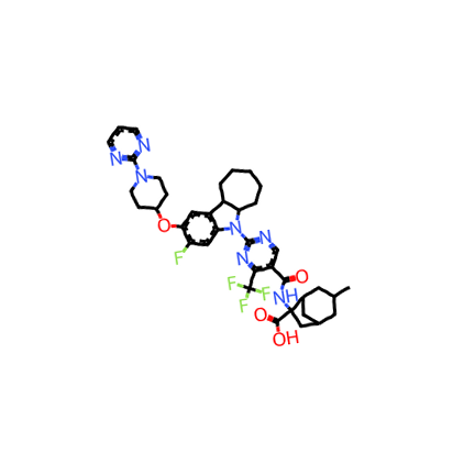 CC1CC2CC(C1)C(NC(=O)c1cnc(N3c4cc(F)c(OC5CCN(c6ncccn6)CC5)cc4C4CCCCCC43)nc1C(F)(F)F)(C(=O)O)C2